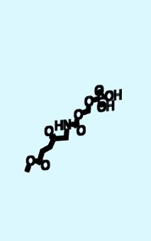 COC(=O)CCC(=O)CNC(=O)OCOP(=O)(O)O